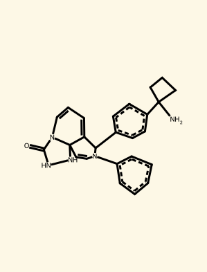 NC1(c2ccc(C3C4=CC=CN5C(=O)NNC45C=CN3c3ccccc3)cc2)CCC1